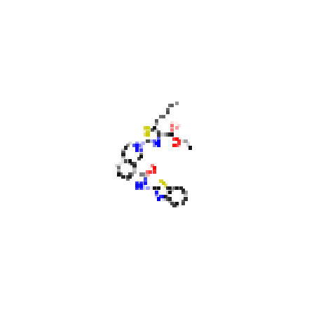 CCCCc1sc(N2CCc3cccc(C(=O)Nc4nc5ccccc5s4)c3C2)nc1C(=O)OCC